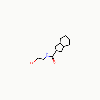 O=C(NCCO)C1CC2CCCCC2C1